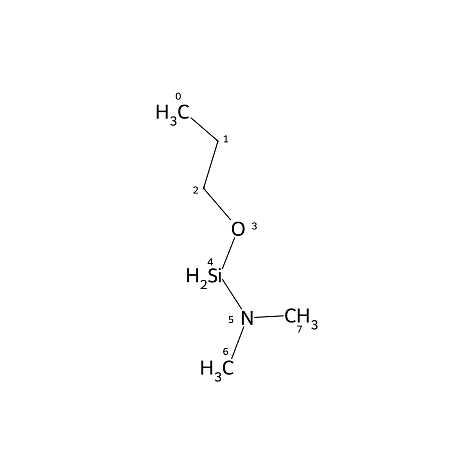 CCCO[SiH2]N(C)C